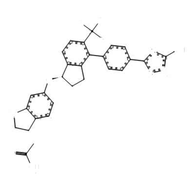 Cc1nc(-c2ccc(-c3c(C(F)(F)F)ccc4c3CC[C@H]4Oc3ccc4c(c3)OC[C@H]4CC(=O)O)cc2)no1